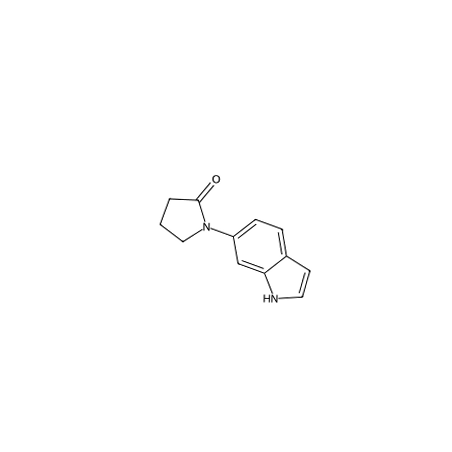 O=C1CCCN1c1ccc2cc[nH]c2c1